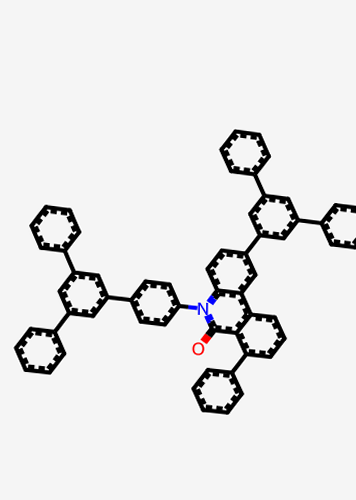 O=c1c2c(-c3ccccc3)cccc2c2cc(-c3cc(-c4ccccc4)cc(-c4ccccc4)c3)ccc2n1-c1ccc(-c2cc(-c3ccccc3)cc(-c3ccccc3)c2)cc1